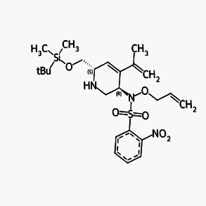 C=CCON([C@H]1CN[C@H](CO[Si](C)(C)C(C)(C)C)C=C1C(=C)C)S(=O)(=O)c1ccccc1[N+](=O)[O-]